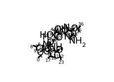 CCOC(=O)[C@H](CC(C)C)NP(=O)(N[C@@H](CC(C)C)C(=O)OCC)OC[C@H]1O[C@@H](n2cnc3c(OC(C)C)nc(N)nc32)[C@@](C)(O)C1O